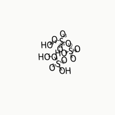 O=S(=O)(O)OO.O=S(=O)(O)OS(=O)(=O)OO